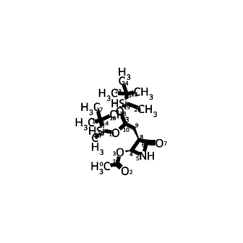 CC(=O)O[C@H]1NC(=O)[C@@H]1CC(O[SiH](C)C(C)(C)C)O[SiH](C)C(C)(C)C